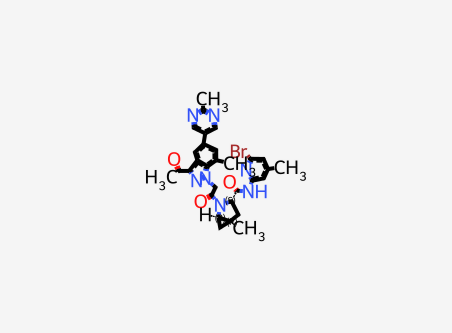 CC(=O)c1nn(CC(=O)N2[C@H](C(=O)Nc3cc(C)cc(Br)n3)C[C@@]3(C)C[C@@H]23)c2c(C)cc(-c3cnc(C)nc3)cc12